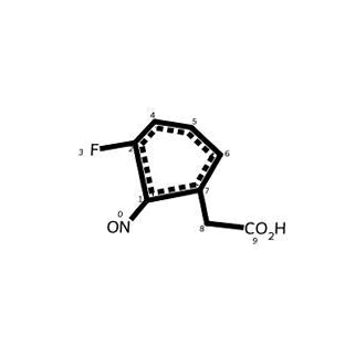 O=Nc1c(F)cccc1CC(=O)O